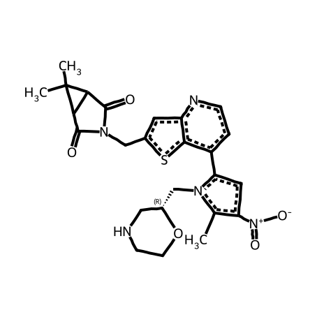 Cc1c([N+](=O)[O-])cc(-c2ccnc3cc(CN4C(=O)C5C(C4=O)C5(C)C)sc23)n1C[C@H]1CNCCO1